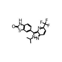 CC(C)n1nc2ccc(C(F)(F)F)nc2c1-c1ccc2[nH]c(=O)sc2c1